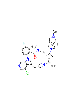 CC(=O)N1CC2CN([C@H]3C[C@@H]([C@H](C(C)C)N4CC(Cc5cn(-c6ccc(F)cc6C(=O)N(C)C(C)C)c6cncc(Cl)c56)C4)C3)C[C@H]2C1